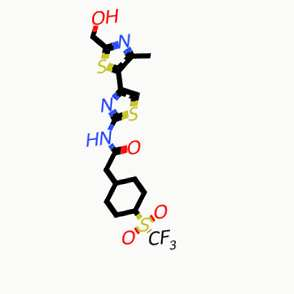 Cc1nc(CO)sc1-c1csc(NC(=O)CC2CCC(S(=O)(=O)C(F)(F)F)CC2)n1